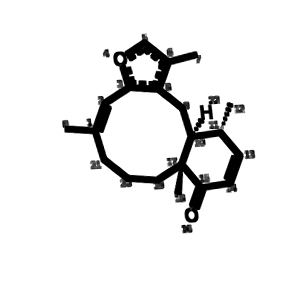 C/C1=C/c2occ(C)c2C[C@H]2[C@H](C)C=CC(=O)[C@]2(C)CCC1